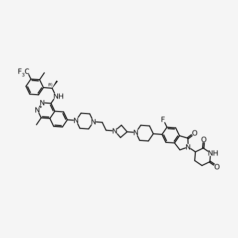 Cc1c([C@@H](C)Nc2nnc(C)c3ccc(N4CCN(CCN5CC(N6CCC(c7cc8c(cc7F)C(=O)N(C7CCC(=O)NC7=O)C8)CC6)C5)CC4)cc23)cccc1C(F)(F)F